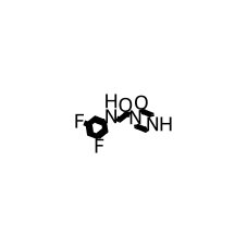 O=C1CNCCN1C(=O)CNc1cc(F)cc(F)c1